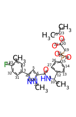 Cc1cc(-c2cc(C(=O)NC(C)c3ccc(S(=O)(=O)CC(=O)OC(C)C)cc3)n(C)n2)ccc1F